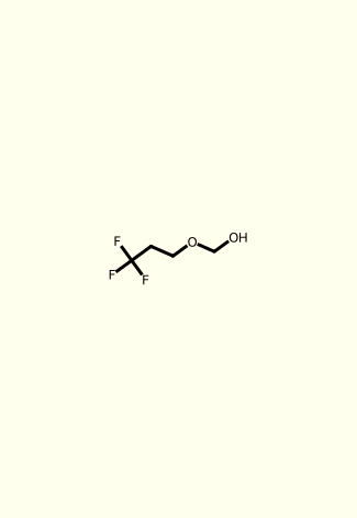 OCOCCC(F)(F)F